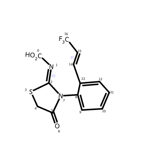 O=C(O)/N=C1\SCC(=O)N1c1ccccc1/C=C/C(F)(F)F